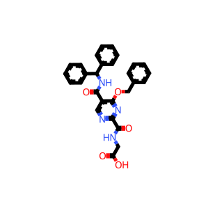 O=C(O)CNC(=O)c1ncc(C(=O)NC(c2ccccc2)c2ccccc2)c(OCc2ccccc2)n1